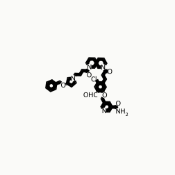 NC(=O)c1cncc(COc2cc(CCC(=O)N3CCCC4(CCCN(C(=O)CCCN5CC[C@@H](OCc6ccccc6)C5)C4)C3)c(Cl)cc2C=O)c1